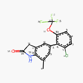 Cc1cc(-c2c(Cl)cccc2OC(F)(F)F)cc2c1NC(=O)C2